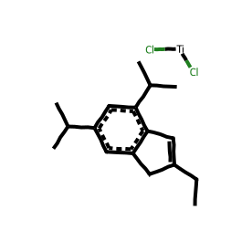 CCC1=Cc2c(cc(C(C)C)cc2C(C)C)[CH]1.[Cl][Ti][Cl]